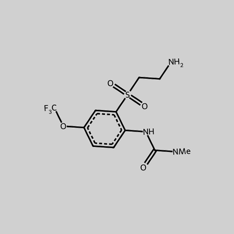 CNC(=O)Nc1ccc(OC(F)(F)F)cc1S(=O)(=O)CCN